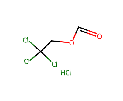 Cl.O=COCC(Cl)(Cl)Cl